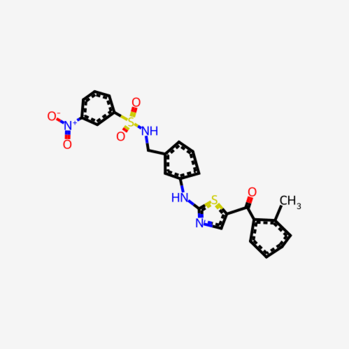 Cc1ccccc1C(=O)c1cnc(Nc2cccc(CNS(=O)(=O)c3cccc([N+](=O)[O-])c3)c2)s1